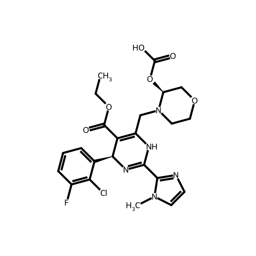 CCOC(=O)C1=C(CN2CCOC[C@@H]2OC(=O)O)NC(c2nccn2C)=N[C@H]1c1cccc(F)c1Cl